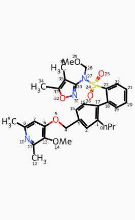 CCCc1cc(COc2cc(C)nc(C)c2OC)ccc1-c1ccccc1S(=O)(=O)N(COC)c1noc(C)c1C